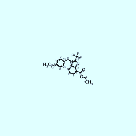 CCOC(=O)c1cccc2c1nc(C(F)(F)F)n2Cc1ccc(OC)cc1